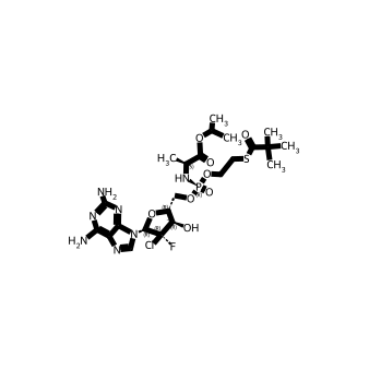 CC(C)OC(=O)[C@H](C)N[P@](=O)(OCCSC(=O)C(C)(C)C)OC[C@H]1O[C@@H](n2cnc3c(N)nc(N)nc32)[C@](F)(Cl)[C@@H]1O